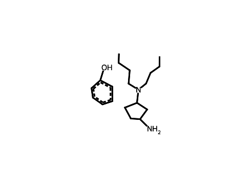 CCCCN(CCCC)C1CCC(N)C1.Oc1ccccc1